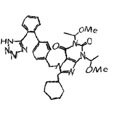 COC(C)n1c(=O)c2c(nc(C3CCCCC3)n2Cc2ccc(-c3ccccc3-c3nnn[nH]3)cc2)n(C(C)OC)c1=O